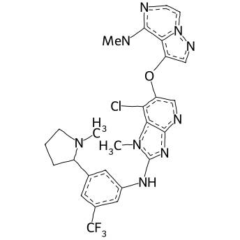 CNc1nccn2ncc(Oc3cnc4nc(Nc5cc(C6CCCN6C)cc(C(F)(F)F)c5)n(C)c4c3Cl)c12